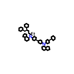 CC/C(=C\C=C(/Cc1ccccc1)c1ccccc1)N(c1ccc(-c2ccc(N(c3ccc(-c4ccccc4)cc3)c3cccc4ccccc34)cc2)cc1)c1cccc2ccccc12